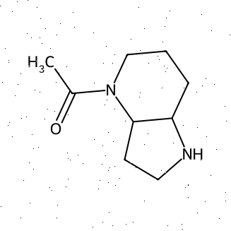 CC(=O)N1CCCC2NCCC21